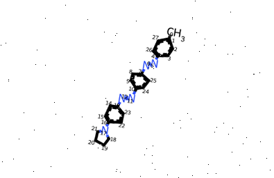 Cc1ccc(/N=N/c2ccc(/N=N/c3ccc(N4CCCC4)cc3)cc2)cc1